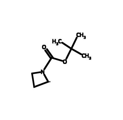 CC(C)(C)OC(=O)N1[CH]CC1